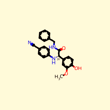 COc1cc([C@H](Nc2ccc(C#N)cc2)C(=O)NCc2ccccc2)ccc1O